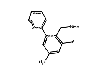 CNCc1c(F)cc(C)cc1-c1ccccn1